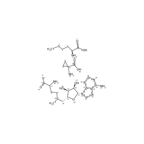 CSCC[C@H](N)C(=O)O.C[S+](CCC(N)C(=O)[O-])C[C@H]1O[C@@H](n2cnc3c(N)ncnc32)[C@H](O)[C@@H]1O.NC1(C(=O)O)CC1